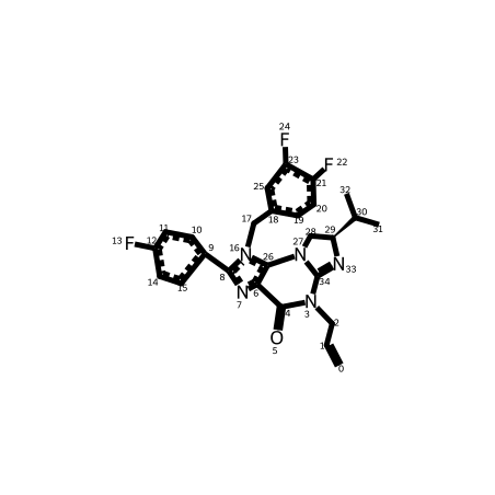 C=CCN1C(=O)c2nc(-c3ccc(F)cc3)n(Cc3ccc(F)c(F)c3)c2N2C[C@@H](C(C)C)N=C12